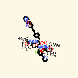 COC(=O)N[C@H](C(=O)N[C@@H](Cc1ccc(C#Cc2ccc(N3CC4CC(C3)N4C3COC3)nc2)cc1)[C@@H](O)CN(Cc1c(F)cc(-c2ccccn2)cc1F)NC(=O)[C@@H](NC(=O)OC)C(C)(C)C(F)(F)F)C(C)(C)C(F)(F)F